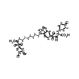 CN(CCCCCCCCN(C)S(=O)(=O)c1cc(Br)c(Cl)s1)c1ncc(S(=O)(=O)NC(Cc2ccc(Cl)cc2)C(=O)O)cc1Br